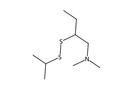 CCC(CN(C)C)SSC(C)C